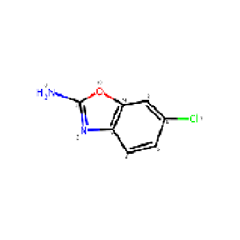 Nc1nc2ccc(Cl)cc2o1